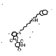 O=C1CCC(N2Cc3c(SCCCCCCCNCCCC4CC5CCCC(C4)C5)cccc3C2=O)C(=O)N1